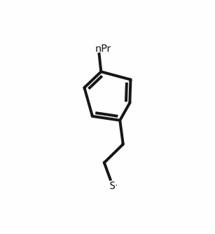 CCCc1ccc(CC[S])cc1